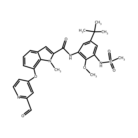 COc1c(NC(=O)c2cc3cccc(Oc4ccnc(C=O)c4)c3n2C)cc(C(C)(C)C)cc1NS(C)(=O)=O